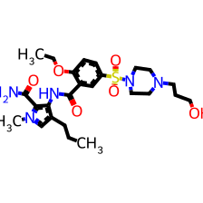 CCCc1cn(C)c(C(N)=O)c1NC(=O)c1cc(S(=O)(=O)N2CCN(CCCO)CC2)ccc1OCC